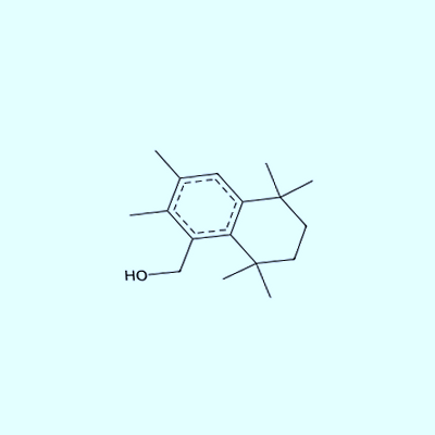 Cc1cc2c(c(CO)c1C)C(C)(C)CCC2(C)C